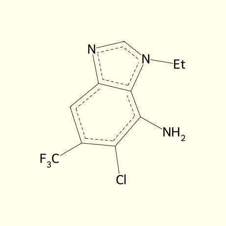 CCn1cnc2cc(C(F)(F)F)c(Cl)c(N)c21